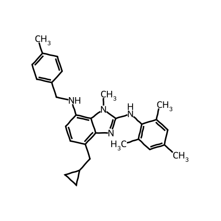 Cc1ccc(CNc2ccc(CC3CC3)c3nc(Nc4c(C)cc(C)cc4C)n(C)c23)cc1